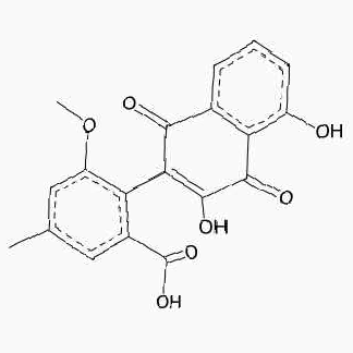 COc1cc(C)cc(C(=O)O)c1C1=C(O)C(=O)c2c(O)cccc2C1=O